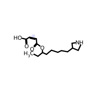 CCC(CCCCCC1CCNC1)OC(=O)/C=C\C(=O)O